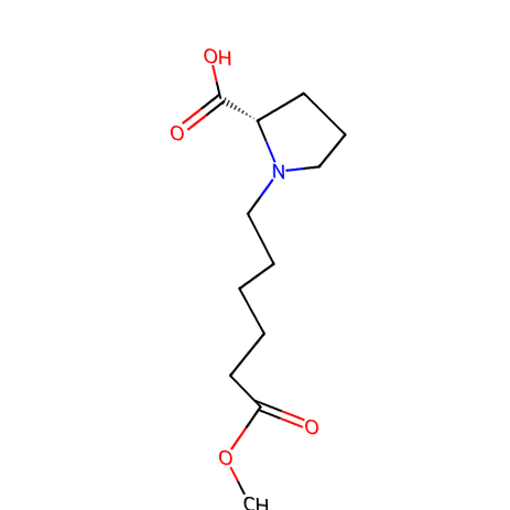 COC(=O)CCCCCN1CCC[C@H]1C(=O)O